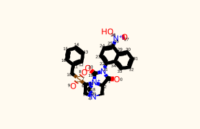 O=C1C2C[N@@]3CC(S(=O)(=O)Cc4ccccc4)[N+]2(C3)C(=O)N1c1ccc([N+](=O)O)c2ccccc12